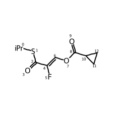 CC(C)SC(=O)C(F)=COC(=O)C1CC1